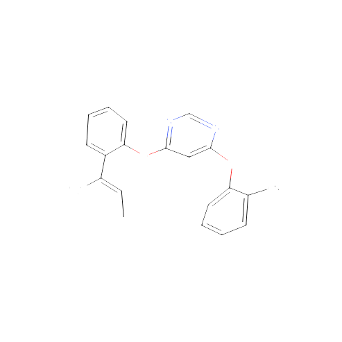 CC=C(C(=O)O)c1ccccc1Oc1cc(Oc2ccccc2C#N)ncn1